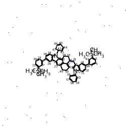 C[Si](C)(C)c1cccc(-c2ccc3c(c2)c(/C=C2/CCc4c5c(cc6c7cc(-c8cccc([Si](C)(C)C)c8)ccc7n(C7C=CC=CC7)c46)CCC=C25)cn3-c2ccccc2)c1